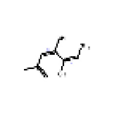 C=C(C)/C=C(O)\C(O)=C/N